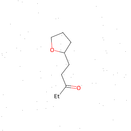 [CH2]CC(=O)CCC1CCCO1